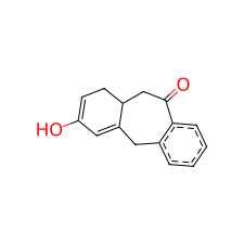 O=C1CC2CC=C(O)C=C2Cc2ccccc21